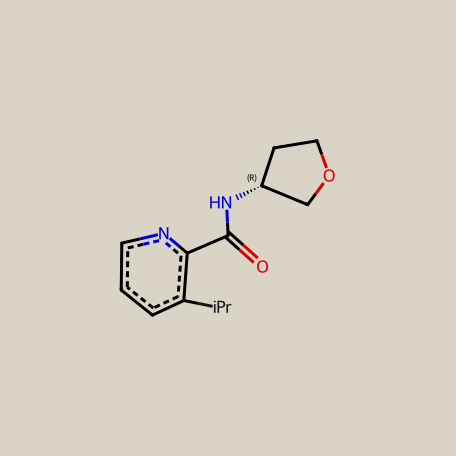 CC(C)c1cccnc1C(=O)N[C@@H]1CCOC1